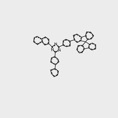 c1ccc(-c2ccc(-c3nc(-c4ccc(-c5ccc6c(c5)C5(c7ccccc7-c7ccccc75)c5ccccc5-6)cc4)nc(-c4ccc5ccccc5c4)n3)cc2)cc1